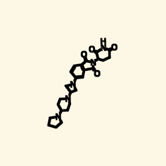 O=C1CCC(N2C(=O)c3ccc(N4CC(N5CCC(N6CCCC6)CC5)C4)cc3C2=O)C(=O)N1